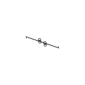 CC(C)CCCCCCCCCCCCC(=O)OCCCCOC(=O)CCCCCCCCCCCCC(C)C